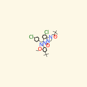 CCOc1cc(C(C)(C)C)ccc1C1=N[C@@H](c2ccc(Cl)cc2)[C@@H](c2ccc(Cl)cc2)N1C(=O)N1CCN(CC(=O)C(C)(C)C)CC1